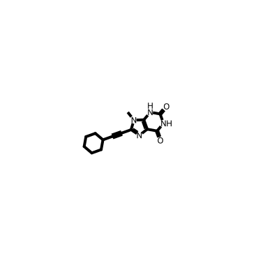 Cn1c(C#CC2CCCCC2)nc2c(=O)[nH]c(=O)[nH]c21